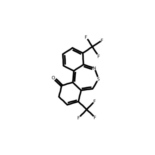 O=C1CC=C(C(F)(F)F)C2=CSN=c3c(C(F)(F)F)cccc3=C12